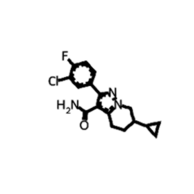 NC(=O)c1c(-c2ccc(F)c(Cl)c2)nn2c1CCC(C1CC1)C2